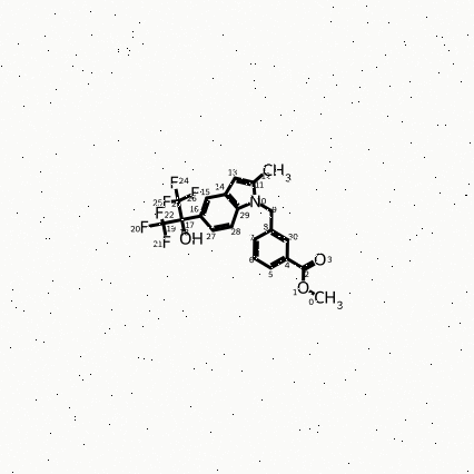 COC(=O)c1cccc(Cn2c(C)cc3cc(C(O)(C(F)(F)F)C(F)(F)F)ccc32)c1